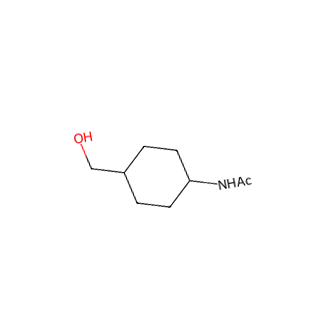 CC(=O)NC1CCC(CO)CC1